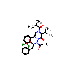 CC(=O)N(C(Cc1ccccc1)C(=O)C(F)(F)F)N1C(=O)C(C(C)C)N(C(=O)C(C)C)C=C1c1ccccc1